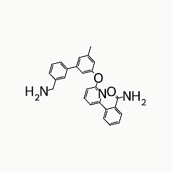 Cc1cc(Oc2cccc(-c3ccccc3C(N)=O)n2)cc(-c2cccc(CN)c2)c1